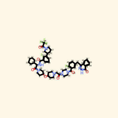 O=C(N[C@@H](C(=O)N1CCC(OC2CCN(CC(=O)N3CCN(C(=O)c4cc(Cc5n[nH]c(=O)c6ccccc56)ccc4F)CC3)CC2)CC1)C1CCCCC1)c1cccc(C2CCCN(C(=O)C(F)(F)F)C2)c1F